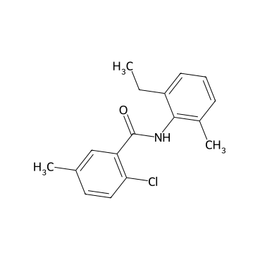 CCc1cccc(C)c1NC(=O)c1cc(C)ccc1Cl